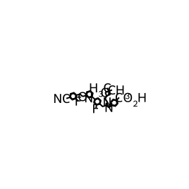 CC1(C)CC(Cn2c(Cc3ccc(-c4cccc(OCc5ccc(C#N)cc5F)n4)cc3F)nc3ccc(C(=O)O)cc32)O1